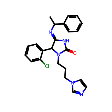 CC(N=C1NC(=O)N(CCCn2ccnc2)C1c1ccccc1Cl)c1ccccc1